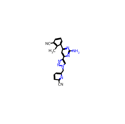 Cc1c(C#N)cccc1-c1cc(-c2cn(Cc3cccc(C#N)n3)nn2)nc(N)n1